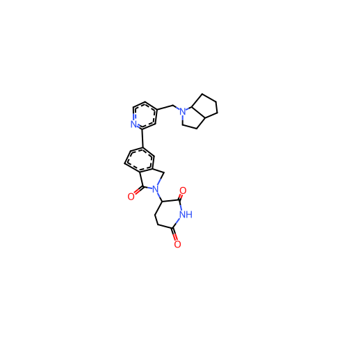 O=C1CCC(N2Cc3cc(-c4cc(CN5CCC6CCCC65)ccn4)ccc3C2=O)C(=O)N1